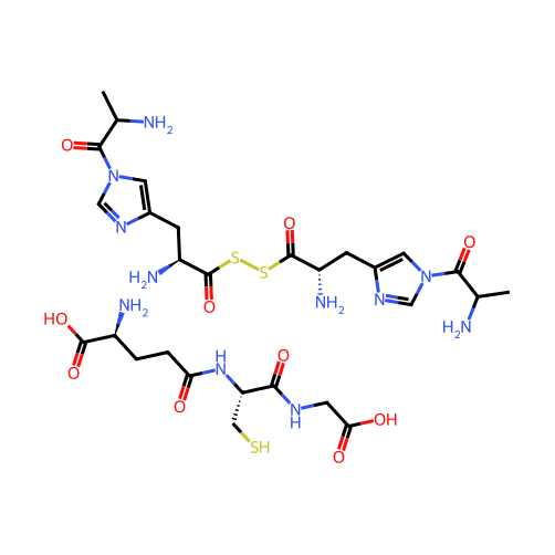 CC(N)C(=O)n1cnc(C[C@H](N)C(=O)SSC(=O)[C@@H](N)Cc2cn(C(=O)C(C)N)cn2)c1.N[C@@H](CCC(=O)N[C@@H](CS)C(=O)NCC(=O)O)C(=O)O